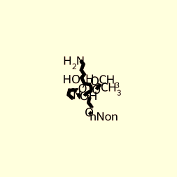 CCCCCCCCCOCCC[C@]1(ON2CCCC2)O[C@H]([C@H](O)CCCN)[C@@H]2OC(C)(C)O[C@@H]21